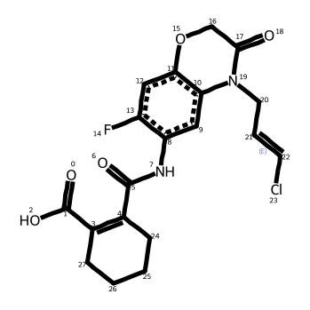 O=C(O)C1=C(C(=O)Nc2cc3c(cc2F)OCC(=O)N3C/C=C/Cl)CCCC1